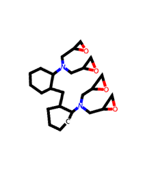 C1CCC(N(CC2CO2)CC2CO2)C(CC2CCCCC2N(CC2CO2)CC2CO2)C1